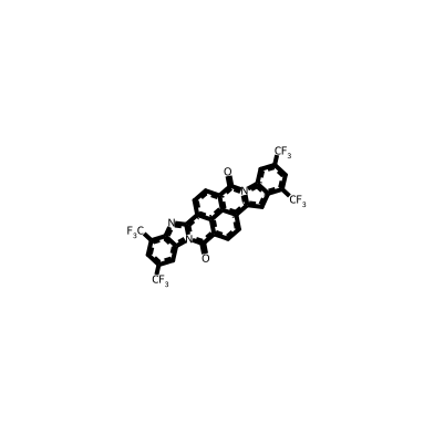 O=c1c2ccc3c4c(ccc(c24)c2cc4c(C(F)(F)F)cc(C(F)(F)F)cc4n12)c(=O)n1c2cc(C(F)(F)F)cc(C(F)(F)F)c2nc31